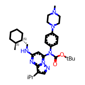 CC(C)c1cnn2c(N(C(=O)OC(C)(C)C)c3ccc(N4CCN(C)CC4)cc3)cc(NC[C@H]3CCCC[C@@H]3C)nc12